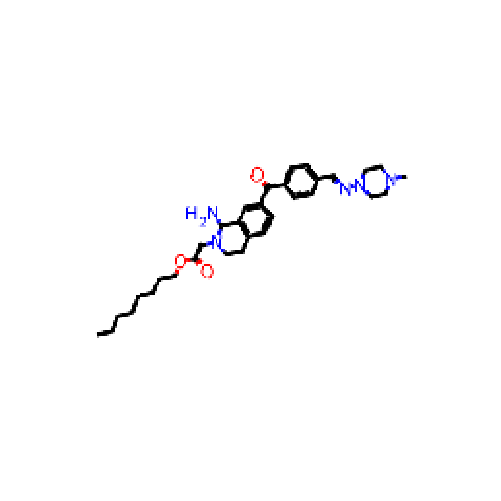 CCCCCCCCOC(=O)CN1CCc2ccc(C(=O)c3ccc(C=NN4CCN(C)CC4)cc3)cc2C1N